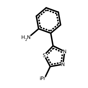 CC(C)c1nnc(-c2ccccc2N)s1